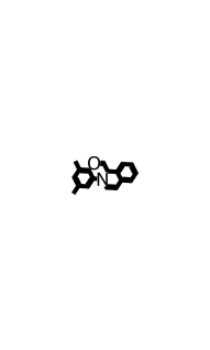 Cc1cc(C)cc(N2C=Cc3ccccc3C2C=O)c1